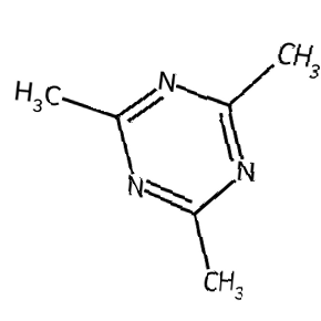 Cc1nc(C)nc(C)n1